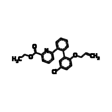 C=CCOc1ccc(Cl)cc1-c1ccccc1-c1cccc(C(=O)OCC)n1